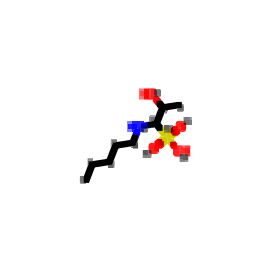 CCCCCNC(C(C)O)S(=O)(=O)O